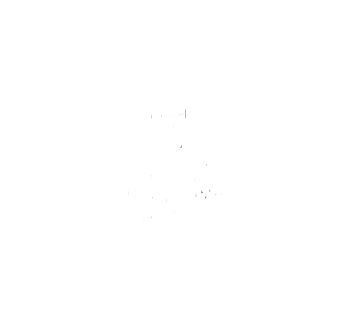 COC(=O)c1sc(C(=O)O)cc1S(=O)(=O)Cl